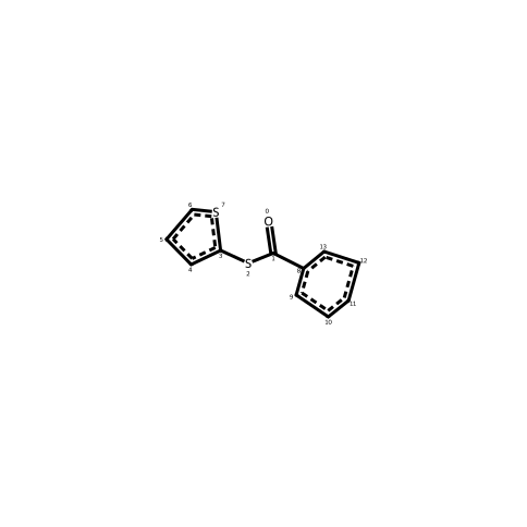 O=C(Sc1cccs1)c1ccccc1